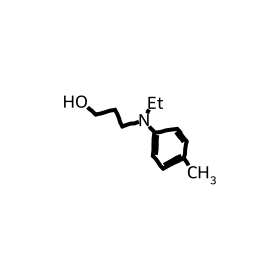 CCN(CCCO)c1ccc(C)cc1